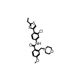 CCc1nc(-c2ccc(NC(=O)c3ccc(OC)cc3CN3CCOCC3)cc2Cl)cs1